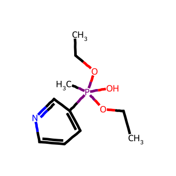 CCOP(C)(O)(OCC)c1cccnc1